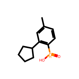 Cc1ccc([PH](=O)O)c(C2CCCC2)c1